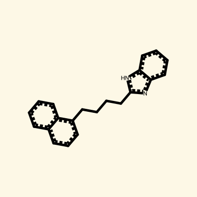 c1ccc2c(CCCCc3nc4ccccc4[nH]3)cccc2c1